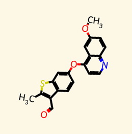 COc1ccc2nccc(Oc3ccc4c(C=O)c(C)sc4c3)c2c1